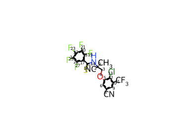 C[C@](C#N)(COc1cc(C#N)cc(C(F)(F)F)c1Cl)NC(=S)c1c(F)c(F)c(F)c(F)c1F